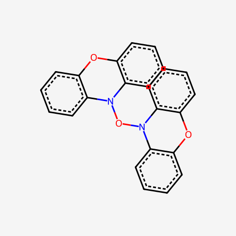 c1ccc2c(c1)Oc1ccccc1N2ON1c2ccccc2Oc2ccccc21